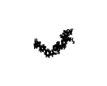 C=C(/C=C1/CCC=C(c2ccc(-c3ncn(C)n3)cn2)CC1)CN1CC[C@@](OC)(C(=O)Nc2ccc(NN)c(C(=C)c3ccc(OC(C)C)nc3)c2)C1